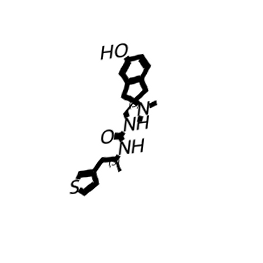 C[C@@H](Cc1ccsc1)NC(=O)NC[C@]1(N(C)C)Cc2ccc(O)cc2C1